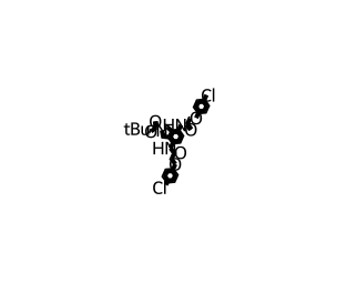 CC(C)(C)OC(=O)N1Cc2c(NC(=O)COc3ccc(Cl)cc3)ccc(NC(=O)COc3ccc(Cl)cc3)c2C1